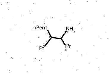 CCCCCC(CC)C(N)C(C)C